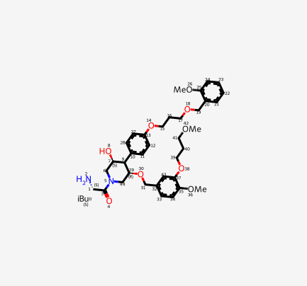 CC[C@H](C)[C@H](N)C(=O)N1C[C@@H](O)C(c2ccc(OCCCOCc3ccccc3OC)cc2)[C@@H](OCc2ccc(OC)c(OCCCOC)c2)C1